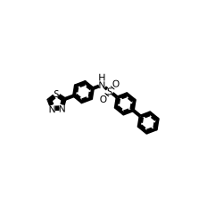 O=S(=O)(Nc1ccc(-c2nncs2)cc1)c1ccc(-c2ccccc2)cc1